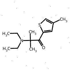 CCN(CC)C(C)(C)C(=O)c1cc(C)cs1